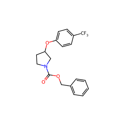 O=C(OCc1ccccc1)N1CCC(Oc2ccc(C(F)(F)F)cc2)C1